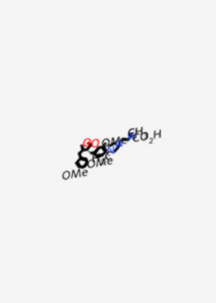 COc1ccc(CC2COC(=O)[C@@H]2Cc2ccc([N+]3(C)CCN(CCN(C)C(=O)O)CC3)c(OC)c2)cc1OC